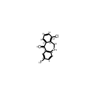 O=C1c2cc(F)ccc2SCc2c(Cl)cccc21